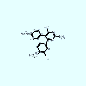 CCc1nc(N)nc(-c2ccc(C(=O)O)c(F)c2)c1-c1ccc(NC)nc1